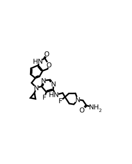 NC(=O)CN1CCC(F)(CNc2ncnc(N(Cc3ccc4c(c3)COC(=O)N4)C3CC3)c2F)CC1